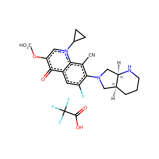 N#Cc1c(N2C[C@@H]3CCCN[C@@H]3C2)c(F)cc2c(=O)c(OC(=O)O)cn(C3CC3)c12.O=C(O)C(F)(F)F